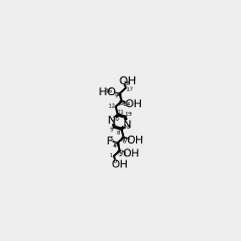 OC[C@@H](O)[C@@H](F)[C@H](O)c1cnc(C[C@H](O)[C@H](O)CO)cn1